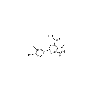 Cc1cc(-c2cc(C(=O)O)c3c(C)n[nH]c3n2)ccc1O